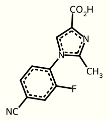 Cc1nc(C(=O)O)cn1-c1ccc(C#N)cc1F